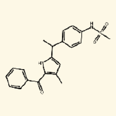 Cc1cc(C(C)c2ccc(NS(C)(=O)=O)cc2)[nH]c1C(=O)c1ccccc1